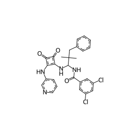 CC(C)(Cc1ccccc1)C(NC(=O)c1cc(Cl)cc(Cl)c1)Nc1c(Nc2cccnc2)c(=O)c1=O